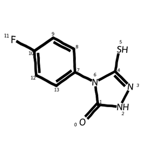 O=c1[nH]nc(S)n1-c1ccc(F)cc1